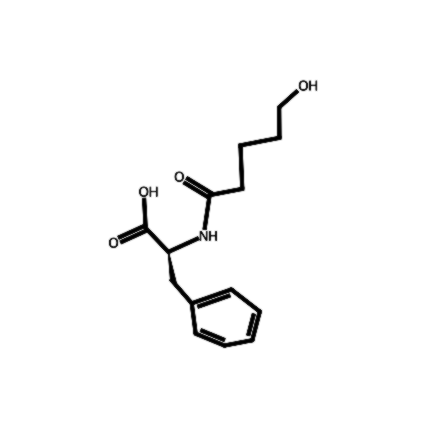 O=C(CCCCO)N[C@@H](Cc1ccccc1)C(=O)O